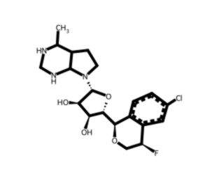 CC1NCNC2C1CCN2[C@@H]1O[C@H]([C@@H]2OC[C@H](F)c3cc(Cl)ccc32)[C@@H](O)[C@H]1O